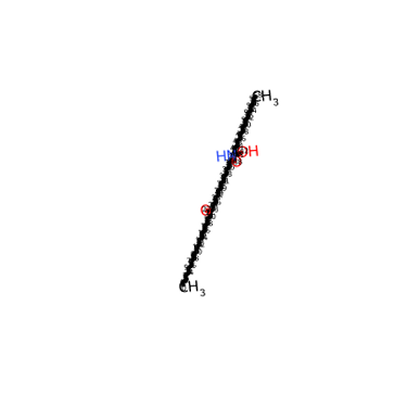 CCCCCCCCC=CCCCCCCCCCCCC(=O)CCCCCCCCCCCCCCC(=O)NC(CO)CCCCCCCCCCCCCCCC